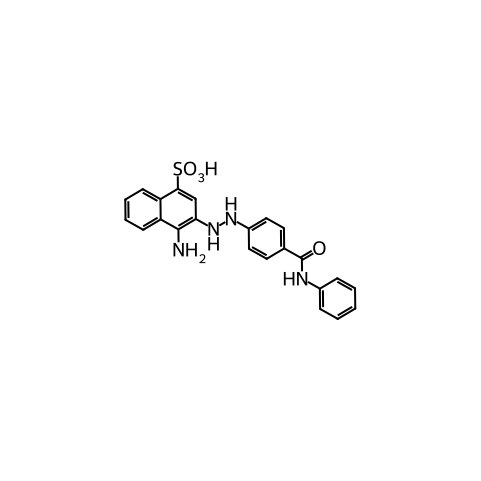 Nc1c(NNc2ccc(C(=O)Nc3ccccc3)cc2)cc(S(=O)(=O)O)c2ccccc12